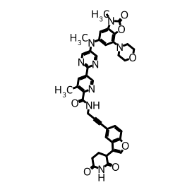 Cc1cc(-c2ncc(N(C)c3cc(N4CCOCC4)c4oc(=O)n(C)c4c3)cn2)cnc1C(=O)NCC#Cc1ccc2occ(C3CCC(=O)NC3=O)c2c1